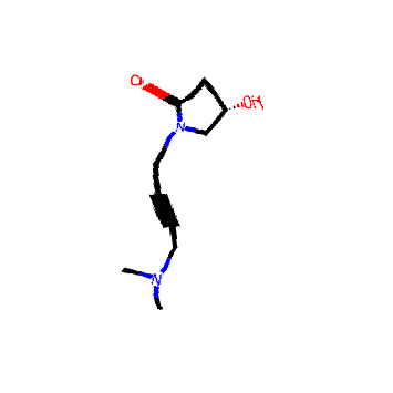 CN(C)CC#CCN1C[C@@H](O)CC1=O